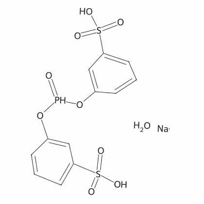 O.O=[PH](Oc1cccc(S(=O)(=O)O)c1)Oc1cccc(S(=O)(=O)O)c1.[Na]